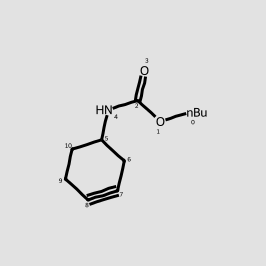 CCCCOC(=O)NC1CC#CCC1